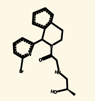 C[C@@H](O)CNCC(=O)N1CCc2ccccc2C1c1cccc(Br)n1